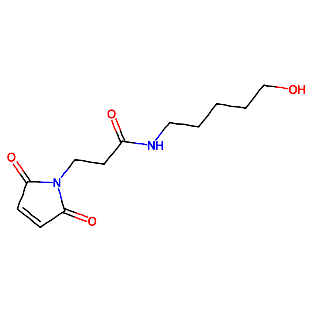 O=C(CCN1C(=O)C=CC1=O)NCCCCCO